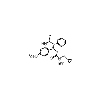 CCCN(CC1CC1)C(=O)Cc1c(-c2ccccc2)c(=O)[nH]c2cc(OC)ccc12